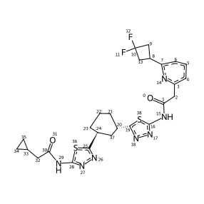 O=C(Cc1cccc(C2CC(F)(F)C2)n1)Nc1nnc([C@H]2CCC[C@H](c3nnc(NC(=O)CC4CC4)s3)C2)s1